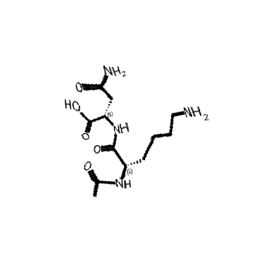 CC(=O)N[C@@H](CCCCN)C(=O)N[C@@H](CC(N)=O)C(=O)O